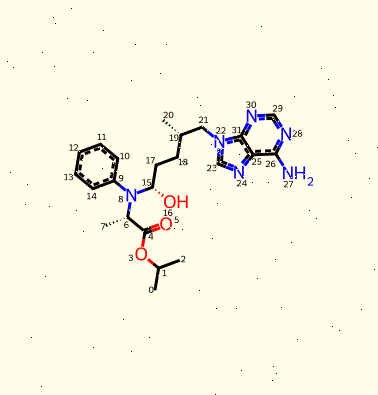 CC(C)OC(=O)[C@H](C)N(c1ccccc1)[C@@H](O)CC[C@H](C)Cn1cnc2c(N)ncnc21